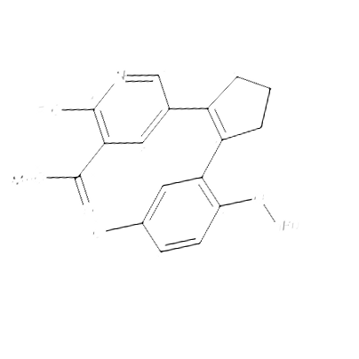 CCCCOc1ccc(Cl)cc1C1=C(c2cnc(C(F)(F)F)c(C(=O)OC)c2)CCC1